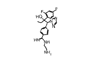 CCC(O)(c1ccc(F)cc1F)C(c1ccc(C(=N)NCCN)cc1)n1cncn1